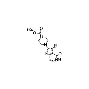 CCn1c(N2CCN(C(=O)OC(C)(C)C)CC2)nc2cc[nH]c(=O)c21